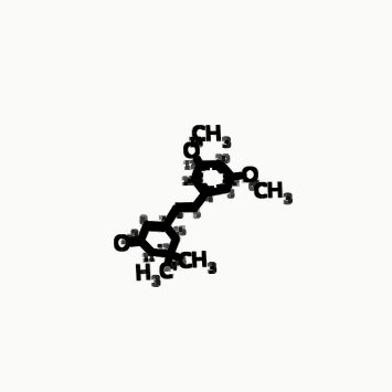 COc1cc(C=CC2=CC(=O)CC(C)(C)C2)cc(OC)c1